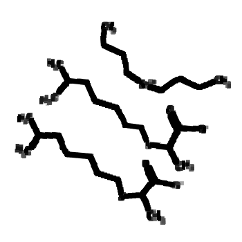 CC(C)CCCCCSC(C)C(=O)[O-].CC(C)CCCCCSC(C)C(=O)[O-].CCC[CH2][Sn+2][CH2]CCC